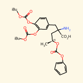 CCC(C)OC(=O)Oc1ccc(CC(N)(C[C@H](C)OC(=O)Oc2ccccc2)C(=O)O)cc1OC(=O)OC(C)CC